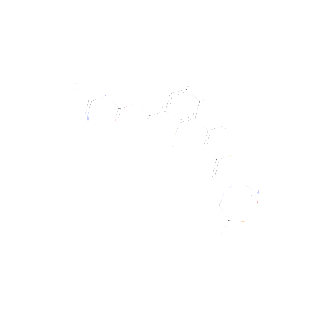 C/C(=C\C(F)=C\N1CNOPC(C)C1)c1cccc(COC(=O)NC(=N)N)c1F